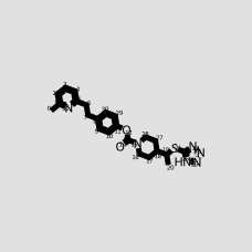 Cc1cccc(CCc2ccc(OC(=O)N3CCC(C(C)Sc4nnn[nH]4)CC3)cc2)n1